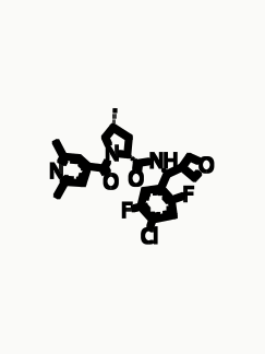 Cc1cc(C(=O)N2C[C@H](C)C[C@@H]2C(=O)N[C@@H](c2cc(F)c(Cl)cc2F)C2COC2)cc(C)n1